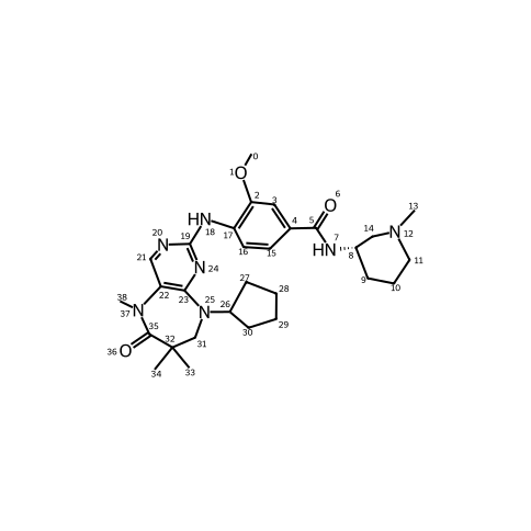 COc1cc(C(=O)N[C@H]2CCCN(C)C2)ccc1Nc1ncc2c(n1)N(C1CCCC1)CC(C)(C)C(=O)N2C